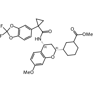 COC(=O)C1CCCC([C@H]2C[C@@H](NC(=O)C3(c4ccc5c(c4)OC(F)(F)O5)CC3)c3ccc(OC)cc3O2)C1